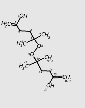 C=C(O)CCC(C)(C)OOC(C)(C)CCC(=C)O